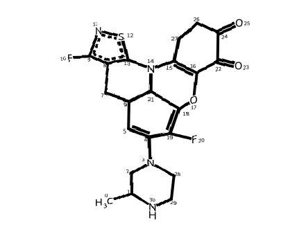 CC1CN(C2=CC3Cc4c(F)nsc4N4C5=C(OC(=C2F)C34)C(=O)C(=O)CC5)CCN1